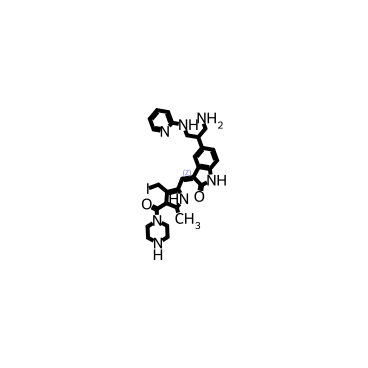 CC1NC(/C=C2\C(=O)Nc3ccc(C(CN)CNc4ccccn4)cc32)=C(CI)C1C(=O)N1CCNCC1